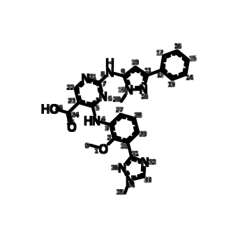 COc1c(Nc2nc(Nc3cc(-c4ccccc4)nn3C)ncc2C(=O)O)cccc1-c1ncn(C)n1